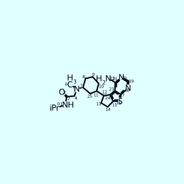 CC(C)NC(=O)CN(C)[C@H]1CCCC(C2CCc3sc4ncnc(N)c4c32)C1